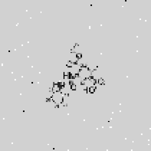 CCOC(=O)c1ccc(C(=O)O)cc1NC(=O)NC1CCCCC1